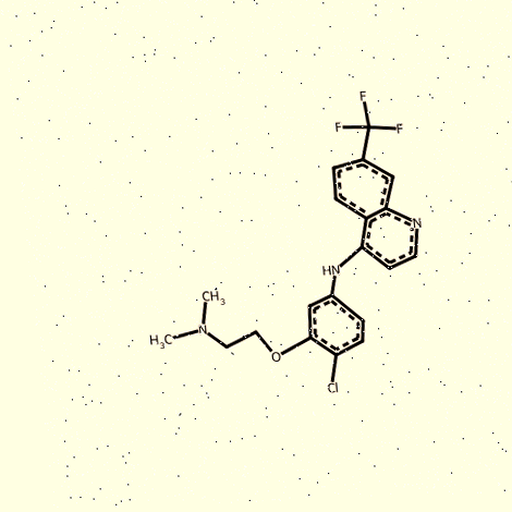 CN(C)CCOc1cc(Nc2ccnc3cc(C(F)(F)F)ccc23)ccc1Cl